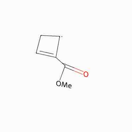 COC(=O)C1=CC[CH]1